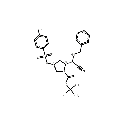 Cc1ccc(S(=O)(=O)O[C@H]2C[C@H](C(C#N)NCc3ccccc3)N(C(=O)OC(C)(C)C)C2)cc1